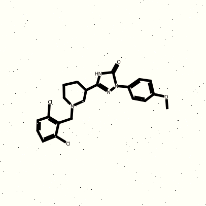 COc1ccc(-n2nc(C3CCCN(Cc4c(Cl)cccc4Cl)C3)[nH]c2=O)cc1